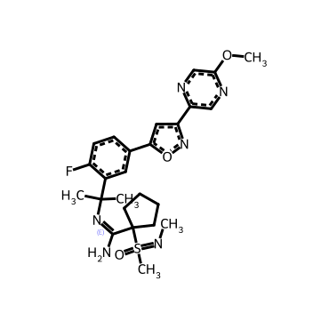 CN=S(C)(=O)C1(/C(N)=N\C(C)(C)c2cc(-c3cc(-c4cnc(OC)cn4)no3)ccc2F)CCCC1